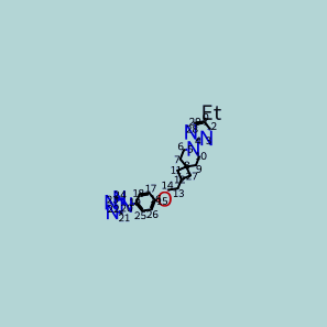 CCc1cnc(N2CCC3(CC2)CC(CCOc2ccc(-n4cnnn4)cc2)C3)nc1